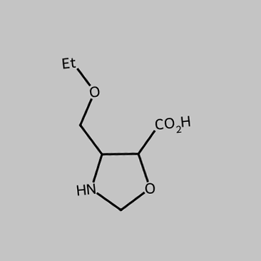 CCOCC1NCOC1C(=O)O